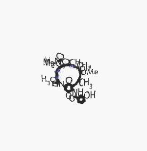 CO[C@H]1/C=C\C=C(/C)C(=O)NC2=CC(=O)C(NC(=O)c3cccc(O)c3)=C(C[C@@H](C)C[C@H](OC)[C@H](O)[C@@H](C)/C=C(\C)[C@@H]1OC(N)=O)C2=O